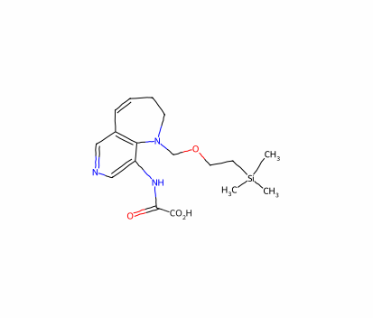 C[Si](C)(C)CCOCN1CCC=Cc2cncc(NC(=O)C(=O)O)c21